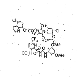 C#CC(C)Oc1cc(N2C(=O)C3=C(CCCC3)C2=O)c(F)cc1Cl.COc1cc(OC)nc(NC(=O)NS(=O)(=O)c2nc(C(F)(F)F)ccc2C(=O)O)n1.O=C(O)COc1ccc(Cl)c2cccnc12